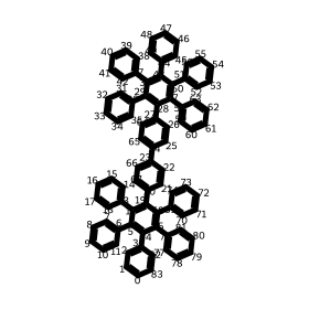 c1ccc(-c2c(-c3ccccc3)c(-c3ccccc3)c(-c3ccc(-c4ccc(-c5c(-c6ccccc6)c(-c6ccccc6)c(-c6ccccc6)c(-c6ccccc6)c5-c5ccccc5)cc4)cc3)c(-c3ccccc3)c2-c2ccccc2)cc1